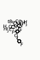 Cc1ncc(-c2cc(F)c(OCCc3ccc(F)cc3)cc2F)c(N2CCC(C)(C)CC2)c1C(OC(C)(C)C)C(=O)O